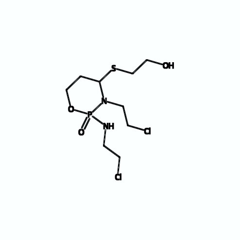 O=P1(NCCCl)OCCC(SCCO)N1CCCl